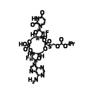 CC(C)OC(=O)OCSP1(=O)OC[C@H]2O[C@@H](n3cnc4c(N)ncnc43)[C@H](F)[C@@H]2OP(=O)(O)OC[C@H]2O[C@@H](n3ccc(=O)[nH]c3=O)[C@H](F)[C@@H]2O1